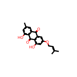 CC(C)=CCOc1cc(O)c2c(c1)C(=O)c1cc(C)cc(O)c1C2=O